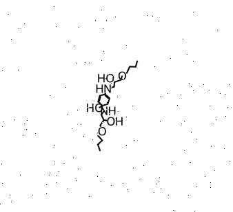 CCCCOCC(O)CNC1=CCC(O)(NCC(O)COCCCC)C=C1